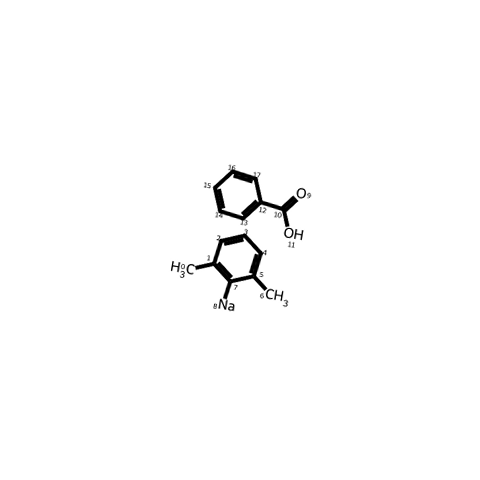 Cc1cccc(C)[c]1[Na].O=C(O)c1ccccc1